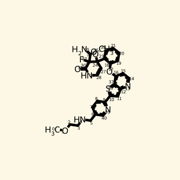 COCCNCc1ccc(-c2cc3nccc(Oc4ccccc4C4(OC)C=CNC(=O)C4(F)C(N)=O)c3s2)nc1